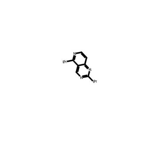 CC(C)c1ncc2c(C(C)C)nccc2n1